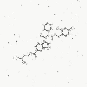 CN(C)CCNC(=O)c1ccc2c(C(=O)[C@@H](NCCc3ccc(Cl)cc3Cl)c3ccccc3)c[nH]c2c1